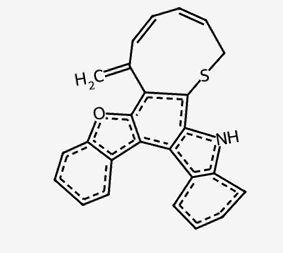 C=C1/C=C\C=C/CSc2c1c1oc3ccccc3c1c1c2[nH]c2ccccc21